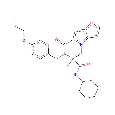 CCCOc1ccc(CN2C(=O)c3cc4occc4n3CC2(C)C(=O)NC2CCCCC2)cc1